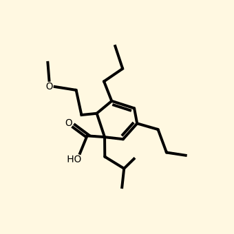 CCCC1=CC(CC(C)C)(C(=O)O)C(CCOC)C(CCC)=C1